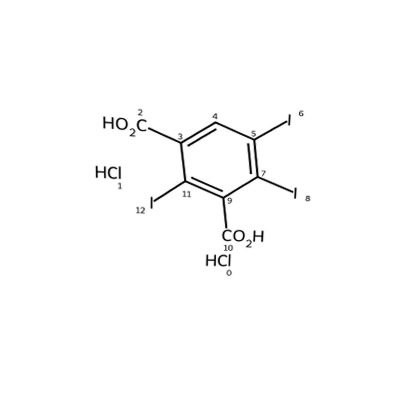 Cl.Cl.O=C(O)c1cc(I)c(I)c(C(=O)O)c1I